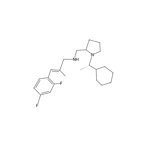 C/C(=C\c1ccc(F)cc1F)CNCC1CCCN1[C@@H](C)C1CCCCC1